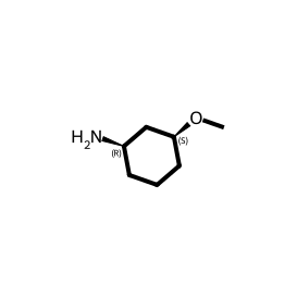 CO[C@H]1CCC[C@@H](N)C1